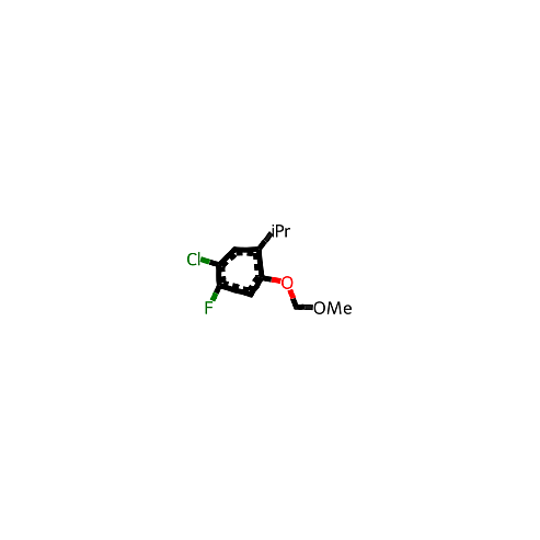 COCOc1cc(F)c(Cl)cc1C(C)C